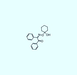 O=C(C(=NOC1(O)CCCCC1)c1ccccc1)c1ccccc1